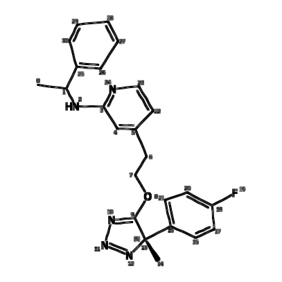 CC(Nc1cc(CCOC2=NN=N[C@@]2(C)c2ccc(F)cc2)ccn1)c1ccccc1